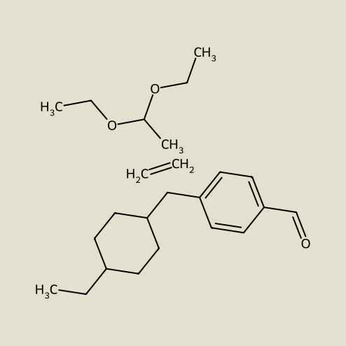 C=C.CCC1CCC(Cc2ccc(C=O)cc2)CC1.CCOC(C)OCC